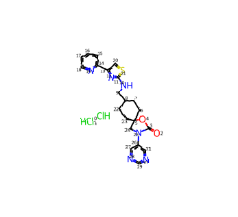 Cl.Cl.O=C1OC2(CCC(CNc3nc(-c4ccccn4)cs3)CC2)CN1c1cncnc1